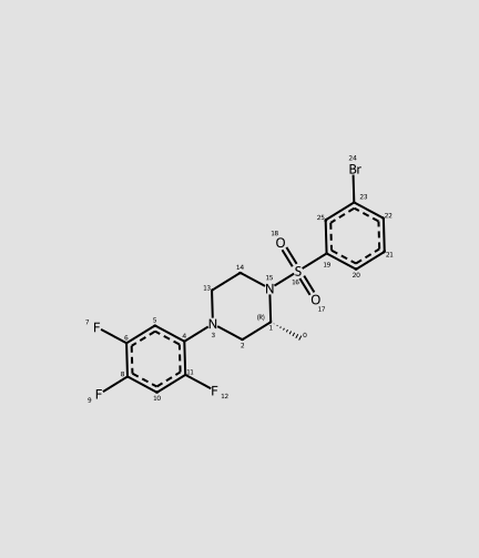 C[C@@H]1CN(c2cc(F)c(F)cc2F)CCN1S(=O)(=O)c1cccc(Br)c1